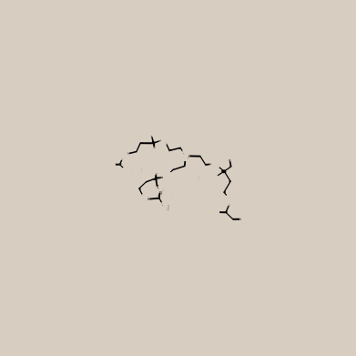 CCC(C)OCCC(C)(CC)OCCN(CCOC(C)(C)CCOC(C)C)CCOC(C)(C)CCOC(C)N